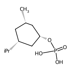 CC(C)[C@@H]1C[C@H](C)C[C@H](OP(=O)(O)O)C1